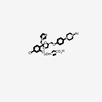 C=C.CC(=O)N1CCN(c2ccc(OC[C@H]3CO[C@](Cn4ccnc4)(c4ccc(Cl)cc4Cl)O3)cc2)CC1.CCCCCCCCCCCC(=O)O